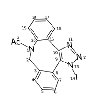 CC(=O)N1Cc2ccccc2-c2c(nnn2I)-c2ccccc21